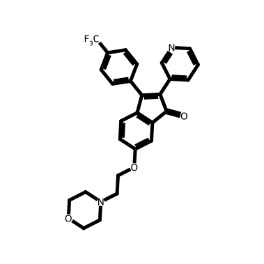 O=C1C(c2cccnc2)=C(c2ccc(C(F)(F)F)cc2)c2ccc(OCCN3CCOCC3)cc21